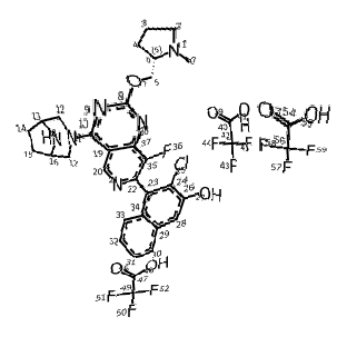 CN1CCC[C@H]1COc1nc(N2CC3CCC(C2)N3)c2cnc(-c3c(Cl)c(O)cc4ccccc34)c(F)c2n1.O=C(O)C(F)(F)F.O=C(O)C(F)(F)F.O=C(O)C(F)(F)F